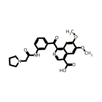 COc1cc2c(C(=O)O)cnc(C(=O)c3cccc(NC(=O)CN4CCCC4)c3)c2cc1OC